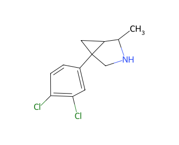 CC1NCC2(c3ccc(Cl)c(Cl)c3)CC12